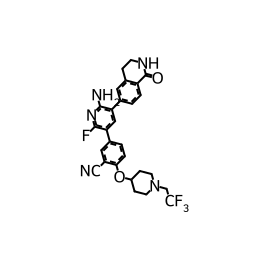 N#Cc1cc(-c2cc(-c3ccc4c(c3)CCNC4=O)c(N)nc2F)ccc1OC1CCN(CC(F)(F)F)CC1